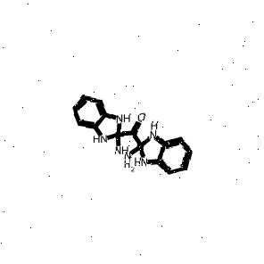 NC1(C(=O)C2(N)Nc3ccccc3N2)Nc2ccccc2N1